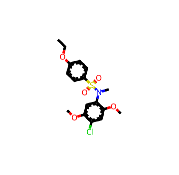 CCOc1ccc(S(=O)(=O)N(C)c2cc(OC)c(Cl)cc2OC)cc1